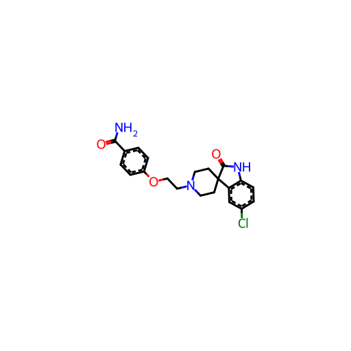 NC(=O)c1ccc(OCCN2CCC3(CC2)C(=O)Nc2ccc(Cl)cc23)cc1